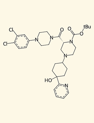 CC(C)(C)OC(=O)N1CCN(C2CCC(O)(c3ccccn3)CC2)C[C@@H]1C(=O)N1CCN(c2ccc(Cl)c(Cl)c2)CC1